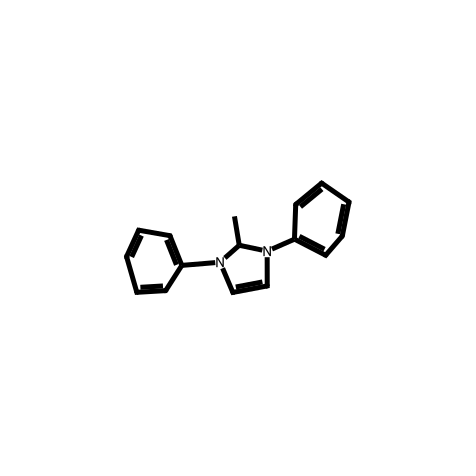 CC1N(c2ccccc2)C=CN1c1ccccc1